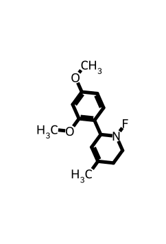 COc1ccc(C2C=C(C)CCN2F)c(OC)c1